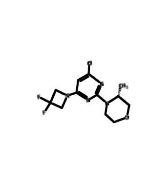 C[C@@H]1COCCN1c1nc(Cl)cc(N2CC(F)(F)C2)n1